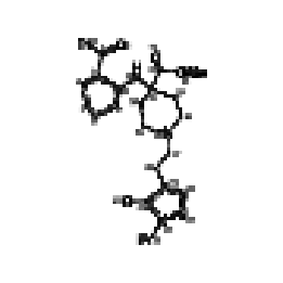 CCC(=O)c1ccccc1NC1(C(=O)OC)CCN(CCn2nnn(C(C)C)c2=O)CC1